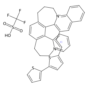 C(=C\c1cc2ccccc2[n+]2c1-c1c(ccc3c1-c1cccc[n+]1CCC3)CCC2)/c1ccc(-c2cccs2)s1.O=S(=O)(O)C(F)(F)F